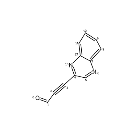 O=CC#Cc1cnc2ccccc2n1